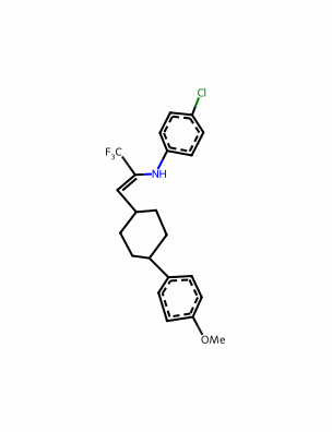 COc1ccc(C2CCC(/C=C(\Nc3ccc(Cl)cc3)C(F)(F)F)CC2)cc1